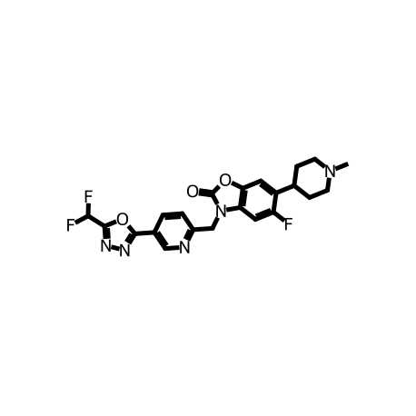 CN1CCC(c2cc3oc(=O)n(Cc4ccc(-c5nnc(C(F)F)o5)cn4)c3cc2F)CC1